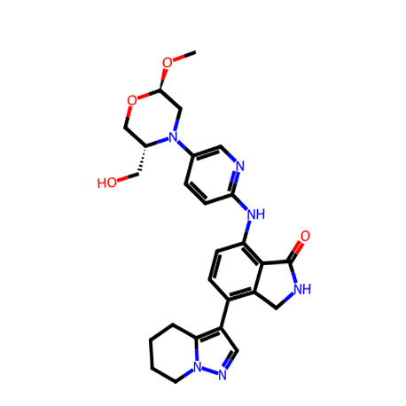 CO[C@H]1CN(c2ccc(Nc3ccc(-c4cnn5c4CCCC5)c4c3C(=O)NC4)nc2)[C@H](CO)CO1